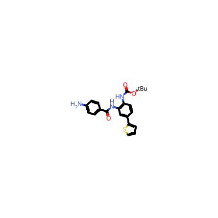 CC(C)(C)OC(=O)Nc1ccc(-c2cccs2)cc1NC(=O)c1ccc(N)cc1